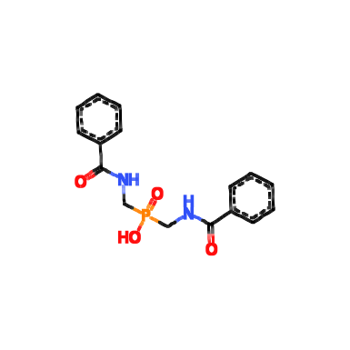 O=C(NCP(=O)(O)CNC(=O)c1ccccc1)c1ccccc1